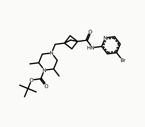 CC1CN(CC23CC(C(=O)Nc4cc(Br)ccn4)(C2)C3)CC(C)N1C(=O)OC(C)(C)C